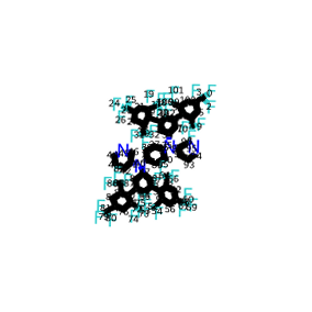 FC(F)(F)c1cc(C(F)(F)F)c(-c2cc(-c3c(C(F)(F)F)cc(C(F)(F)F)cc3C(F)(F)F)cc(N(c3ccc(N(c4cccnc4)c4cc(-c5c(C(F)(F)F)cc(C(F)(F)F)cc5C(F)(F)F)cc(-c5c(C(F)(F)F)cc(C(F)(F)F)cc5C(F)(F)F)c4)cc3)c3cccnc3)c2)c(C(F)(F)F)c1